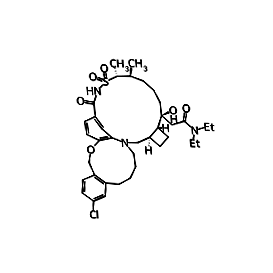 CCN(CC)C(=O)C[C@@]1(O)CCC[C@H](C)[C@@H](C)S(=O)(=O)NC(=O)c2ccc3c(c2)N(CCCCc2cc(Cl)ccc2CO3)C[C@@H]2CC[C@H]21